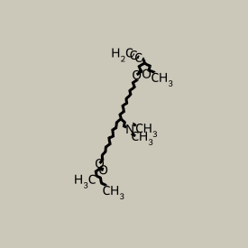 C=C=C=CC(CCCC)CC(=O)OCCCCCCCCCCC(CCCCCCCCCCOC(=O)CC(C)CCCC)CCN(CC)CC